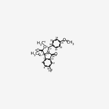 CC[C@@]1(C(=O)OC)c2ccc(F)cc2C(=O)N1Cc1ccc(OC)cc1